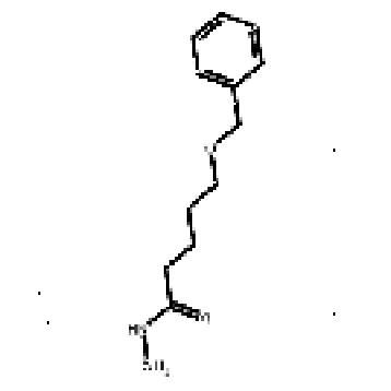 NNC(=O)CCCCOCc1ccccc1